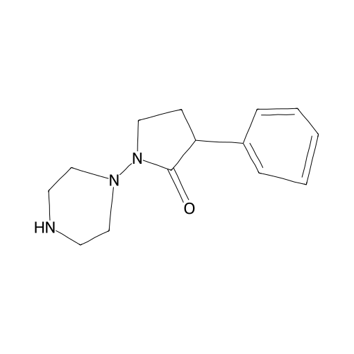 O=C1C(c2ccccc2)CCN1N1CCNCC1